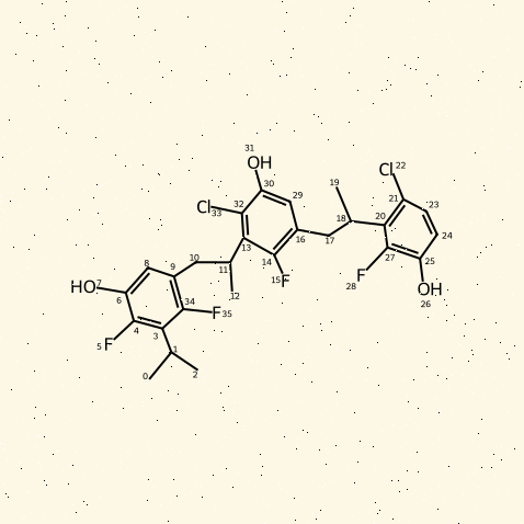 CC(C)c1c(F)c(O)cc(CC(C)c2c(F)c(CC(C)c3c(Cl)ccc(O)c3F)cc(O)c2Cl)c1F